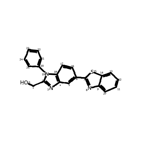 OCc1nc2cc(-c3nc4ccccc4s3)ccc2n1-c1ccccc1